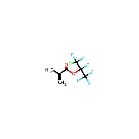 C=C(C)C(=O)OC(F)(C(F)(F)F)C(F)(F)Cl